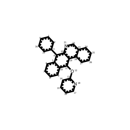 c1ccc(-c2c3ccccc3c(Oc3ccccn3)c3c2ncc2ccccc23)cc1